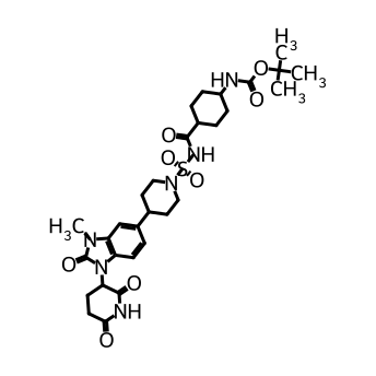 Cn1c(=O)n(C2CCC(=O)NC2=O)c2ccc(C3CCN(S(=O)(=O)NC(=O)C4CCC(NC(=O)OC(C)(C)C)CC4)CC3)cc21